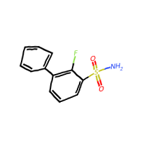 NS(=O)(=O)c1cccc(-c2ccccc2)c1F